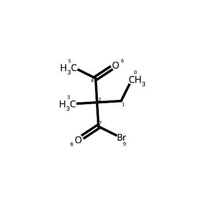 CCC(C)(C(C)=O)C(=O)Br